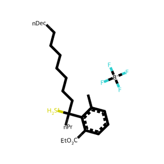 CCCCCCCCCCCCCCCCCC([SH2+])(CCC)c1c(C)cccc1C(=O)OCC.F[B-](F)(F)F